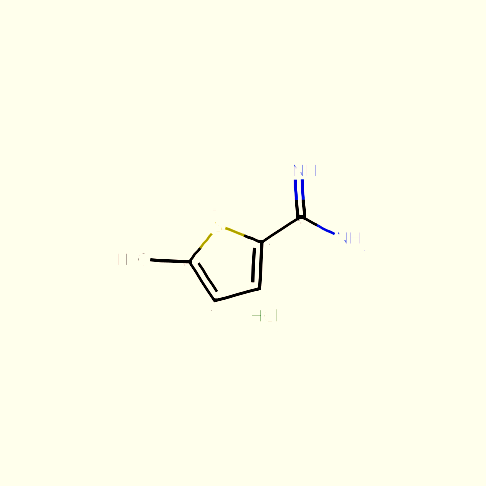 Cc1ccc(C(=N)N)s1.Cl